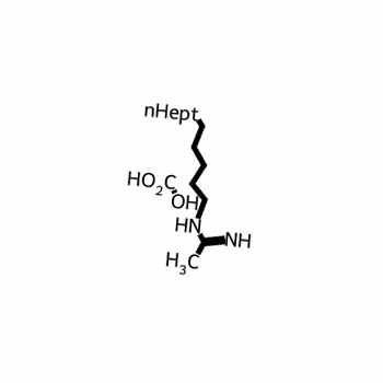 CCCCCCCCCCCCNC(C)=N.O=C(O)O